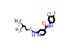 CC(C)CCSNc1cc(C(=O)Nc2ccc(F)c(Cl)c2)ccn1